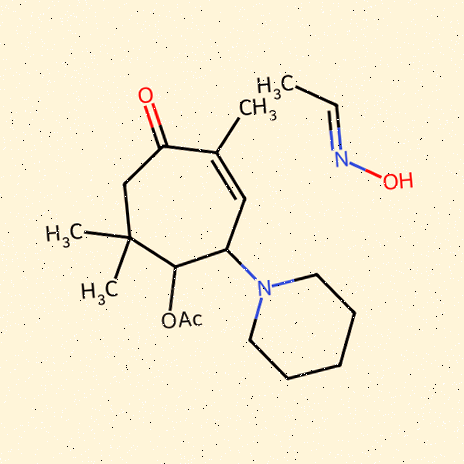 CC(=O)OC1C(N2CCCCC2)C=C(C)C(=O)CC1(C)C.CC=NO